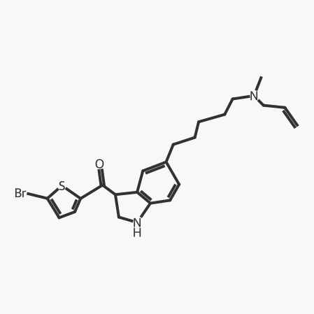 C=CCN(C)CCCCCc1ccc2c(c1)C(C(=O)c1ccc(Br)s1)CN2